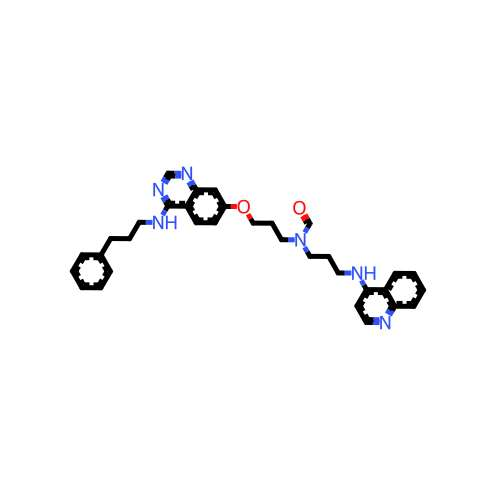 O=CN(CCCNc1ccnc2ccccc12)CCCOc1ccc2c(NCCCc3ccccc3)ncnc2c1